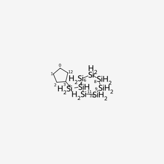 C1CCC([SiH2][SiH]2[SiH2][SiH2][SiH2][SiH2][SiH2][SiH2]2)C1